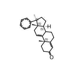 C[C@]12CCC(=O)C=C1CCC1C2=CC[C@@]2(C)[C@H]1CC[C@]2(C)c1ccccc1